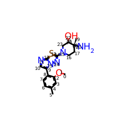 COc1cc(C)ccc1-c1cnc2sc(N3CC[C@@](C)(N)[C@H](O)C3)nn12